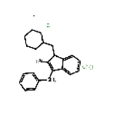 [Cl-].[Cl-].[Cl-].[Ti+3][C]1=C([SiH2]c2ccccc2)c2ccccc2C1CC1CCCCC1